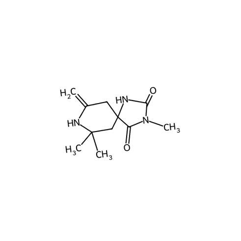 C=C1CC2(CC(C)(C)N1)NC(=O)N(C)C2=O